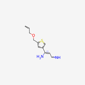 C=CCOCc1cc(/C(N)=C/C=N)cs1